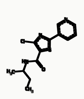 CCC(C)NC(=O)c1sc(-c2cccnc2)nc1Cl